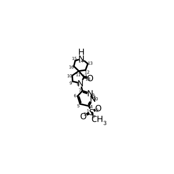 CS(=O)(=O)c1ccc(N2CCC3(CCNCC3)C2=O)nn1